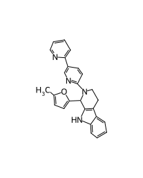 Cc1ccc(C2c3[nH]c4ccccc4c3CCN2c2ccc(-c3ccccn3)cn2)o1